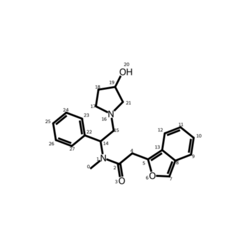 CN(C(=O)Cc1occ2ccccc12)C(CN1CCC(O)C1)c1ccccc1